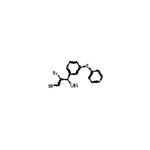 OC(/C(Br)=C/Br)c1cccc(Sc2ccccc2)c1